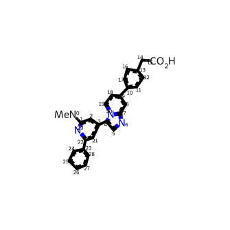 CNc1cc(-c2cnc3cc(-c4ccc(CC(=O)O)cc4)ccn23)cc(-c2ccccc2)n1